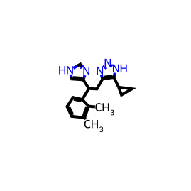 Cc1cccc(C(Cc2nn[nH]c2C2CC2)c2c[nH]cn2)c1C